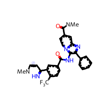 CN/C=C\C(=N)c1cc(C(=O)Nc2c(-c3ccccc3)nc3cc(C(=O)NC)ccn23)ccc1C(F)(F)F